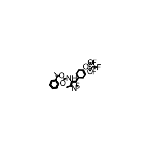 Cc1nsc(C2CC=C(OS(=O)(=O)C(F)(F)F)CC2)c1NC(=O)O[C@H](C)c1ccccc1